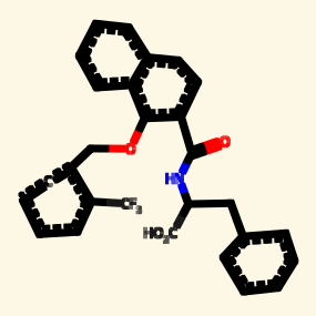 O=C(NC(Cc1ccccc1)C(=O)O)c1ccc2ccccc2c1OCc1ccccc1C(F)(F)F